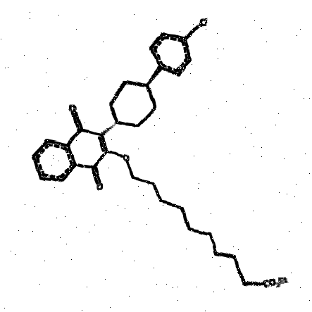 CCOC(=O)CCCCCCCCCOC1=C([C@H]2CC[C@H](c3ccc(Cl)cc3)CC2)C(=O)c2ccccc2C1=O